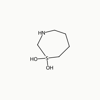 OS1(O)CCCCNC1